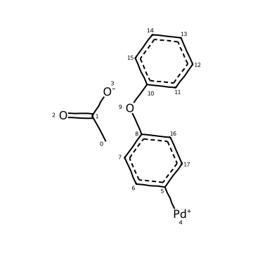 CC(=O)[O-].[Pd+][c]1ccc(Oc2ccccc2)cc1